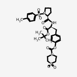 Cc1ccc(S(=O)(=O)N2CCC[C@H]2C(=O)N[C@@H](Cc2ccc(OC(=O)N3CCS(=O)(=O)CC3)cc2)C(=O)OC(C)(C)C)cc1